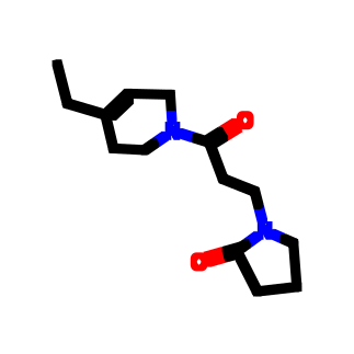 CCC1=CCN(C(=O)CCN2CCCC2=O)CC1